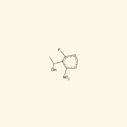 C[C](O)c1c(F)cccc1[N+](=O)[O-]